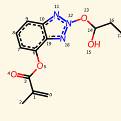 C=C(C)C(=O)Oc1cccc2nn(OC(O)CC)nc12